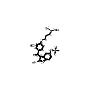 CCCCc1sc2ccc(NS(C)(=O)=O)cc2c1C(=O)c1ccc(OCCCN(CCCC)CCCC)cc1.Cl